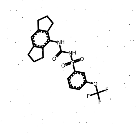 O=C(Nc1c2c(cc3c1CCC3)CCC2)NS(=O)(=O)c1cccc(OC(F)(F)F)c1